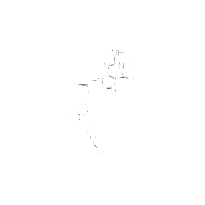 C=C(COCP(C)(=O)OCOC=O)Cn1cnc2c(=O)[nH]c(N)nc21